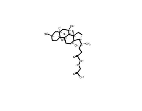 C[C@H](CCC(=O)NNCC(=O)O)[C@H]1CC[C@H]2[C@@H]3[C@H](O)C[C@@H]4C[C@H](O)CC[C@]4(C)[C@H]3CC[C@]12C